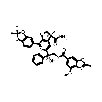 COc1cc(C(=O)NC[C@@](O)(c2ccccc2)c2cc3c(c(-c4ccc5c(c4)OC(F)(F)O5)n2)OC[C@]3(C)C(N)=O)cc2oc(C)nc12